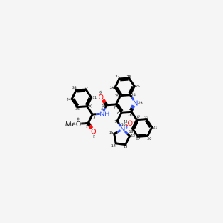 COC(=O)C(NC(=O)c1c(C[N+]2([O-])CCCC2)c(-c2ccccc2)nc2ccccc12)c1ccccc1